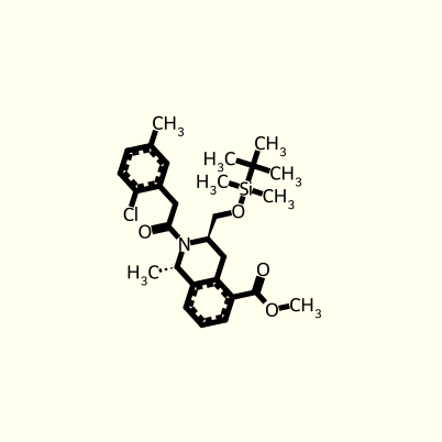 COC(=O)c1cccc2c1C[C@H](CO[Si](C)(C)C(C)(C)C)N(C(=O)Cc1cc(C)ccc1Cl)[C@H]2C